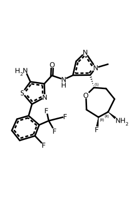 Cn1ncc(NC(=O)c2nc(-c3cccc(F)c3C(F)(F)F)sc2N)c1[C@@H]1CC[C@@H](N)[C@@H](F)CO1